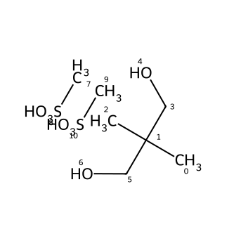 CC(C)(CO)CO.CS(=O)(=O)O.CS(=O)(=O)O